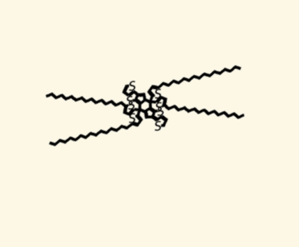 CCCCCCCCCCCCCCCCc1ccc(C2(c3ccc(CCCCCCCCCCCCCCCC)s3)C3=Cc4c5c(sc4=C3C(c3ccc(CCCCCCCCCCCCCCCC)s3)(c3ccc(CCCCCCCCCCCCCCCC)s3)C3C=c4c(sc6ccsc46)=C32)=CCS5)s1